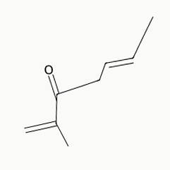 C=C(C)C(=O)CC=CC